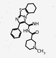 CN1CCCC(C(=O)NC(=N)c2c(-c3ccccc3)nc3sc4c(n23)CCCC4)C1